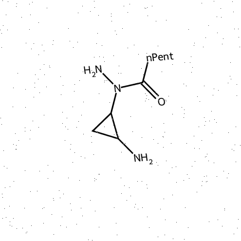 CCCCCC(=O)N(N)C1CC1N